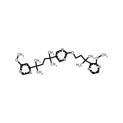 COc1cc(C(C)(C)CCC(C)(C)c2cnc(OCCC(C)(C)c3nccnc3OC)nc2)ncn1